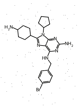 Nc1nc(NCc2ccc(Br)cc2)c2nc(C3CCC(N)CC3)n(C3CCCC3)c2n1